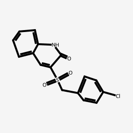 O=c1[nH]c2ccccc2cc1S(=O)(=O)Cc1ccc(Cl)cc1